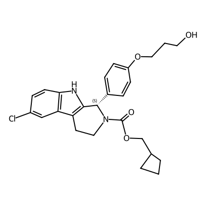 O=C(OCC1CCC1)N1CCc2c([nH]c3ccc(Cl)cc23)[C@@H]1c1ccc(OCCCO)cc1